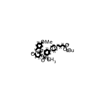 COc1ccc(CN2C(=O)CCC(n3c(=O)n(C)c4cc(N5CCN(CCCC(=O)OC(C)(C)C)CC5)ccc43)C2=O)cc1